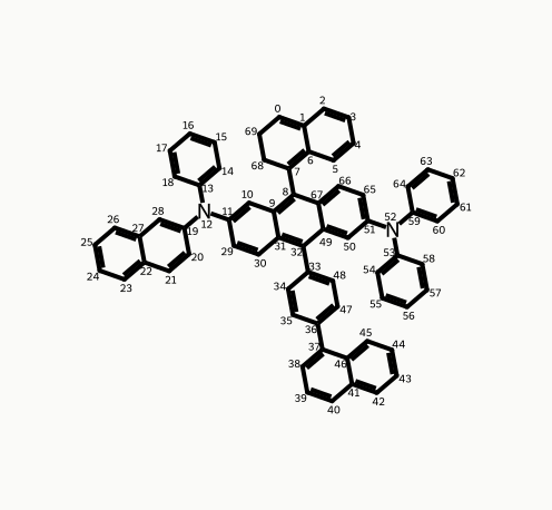 C1=c2ccccc2=C(c2c3cc(N(c4ccccc4)c4ccc5ccccc5c4)ccc3c(-c3ccc(-c4cccc5ccccc45)cc3)c3cc(N(c4ccccc4)c4ccccc4)ccc23)CC1